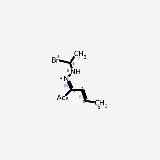 C/C=C/C(=N\NC(C)Br)C(C)=O